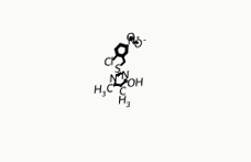 CC1N=C(SCc2cc([N+](=O)[O-])ccc2Cl)N=C(O)C1C